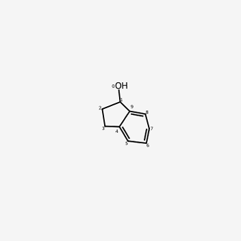 OC1CCc2cc[c]cc21